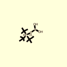 CC(C)(C)[PH]([SH2]B(O)O)(C(C)(C)C)C(C)(C)C